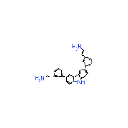 NCCc1cccc(-c2ccc3[nH]c4ccc(-c5cccc(CCN)c5)cc4c3c2)c1